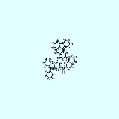 CC12C=C(Nc3ccc4c5ccccc5n(-c5ccccc5)c4c3)C=CC1C=CC=C2c1ccc2c(c1)=C1c3ccccc3C3(C)C=CC=C(C=2)C13